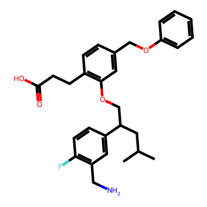 CC(C)CC(COc1cc(COc2ccccc2)ccc1CCC(=O)O)c1ccc(F)c(CN)c1